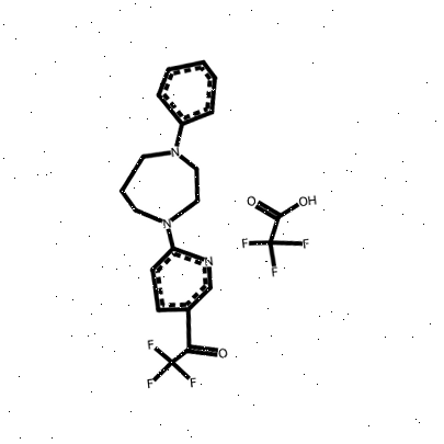 O=C(O)C(F)(F)F.O=C(c1ccc(N2CCCN(c3ccccc3)CC2)nc1)C(F)(F)F